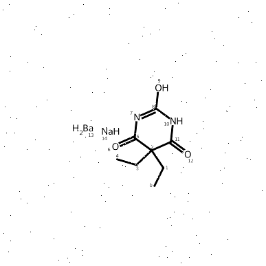 CCC1(CC)C(=O)N=C(O)NC1=O.[BaH2].[NaH]